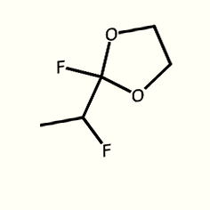 CC(F)C1(F)OCCO1